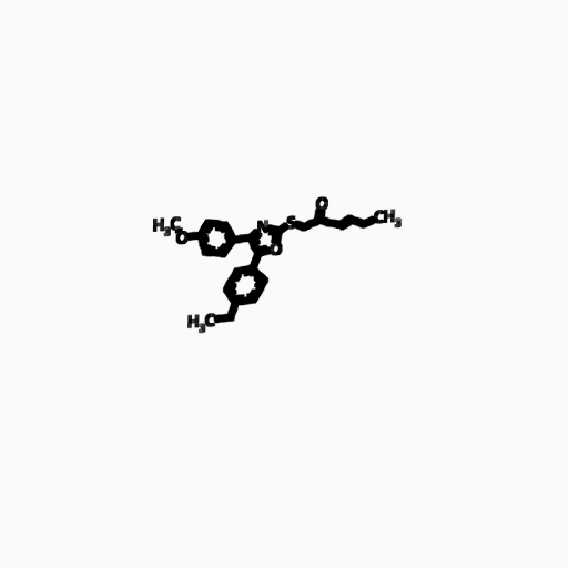 CC/C=C/C(=O)CSc1nc(-c2ccc(OC)cc2)c(-c2ccc(CC)cc2)o1